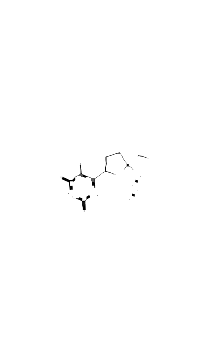 Cc1c(C2C[C@H](O)[C@](CO)(N=[N+]=[N-])O2)[nH]c(=O)[nH]c1=O